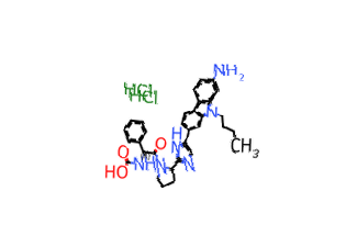 CCCCn1c2cc(N)ccc2c2ccc(-c3cnc(C4CCCN4C(=O)[C@H](NC(=O)O)c4ccccc4)[nH]3)cc21.Cl.Cl